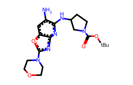 CC(C)(C)OC(=O)N1CCC(Nc2nc3nc(N4CCOCC4)oc3cc2N)C1